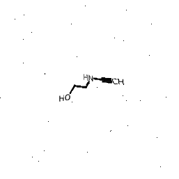 C#CNCCO